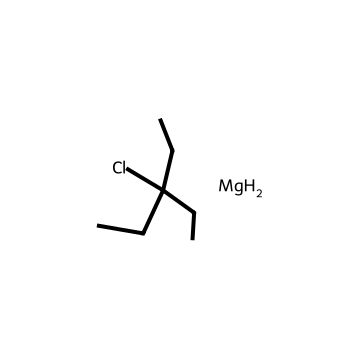 CCC(Cl)(CC)CC.[MgH2]